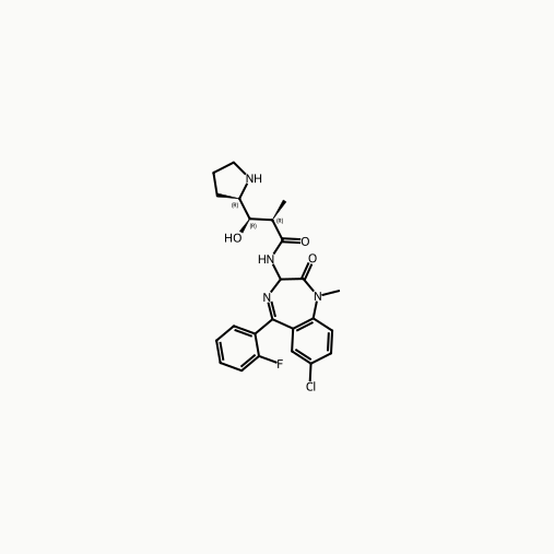 C[C@@H](C(=O)NC1N=C(c2ccccc2F)c2cc(Cl)ccc2N(C)C1=O)[C@@H](O)[C@H]1CCCN1